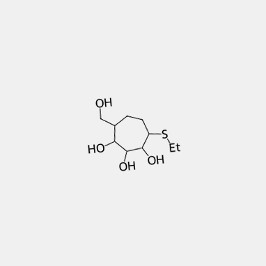 CCSC1CCC(CO)C(O)C(O)C1O